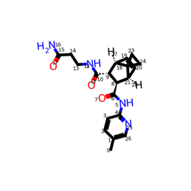 Cc1ccc(NC(=O)[C@H]2[C@H](C(=O)NCCC(N)=O)[C@H]3C=C[C@@H]2C32CC2)nc1